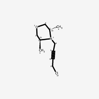 C[C@H]1COC[C@H](C)N1CC#CCCl